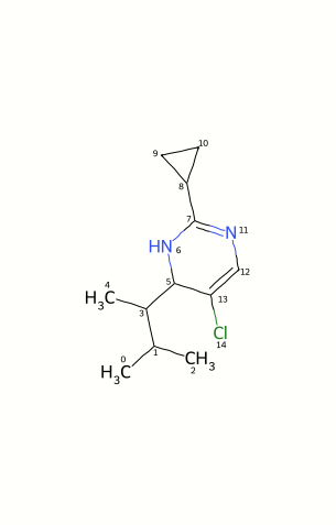 CC(C)C(C)C1NC(C2CC2)=NC=C1Cl